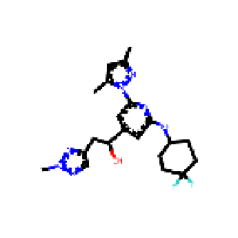 Cc1cc(C)n(-c2cc(C(O)Cc3cnn(C)n3)cc(NC3CCC(F)(F)CC3)n2)n1